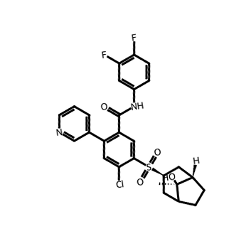 C[C@@]1(O)C2CC[C@H]1C[C@H](S(=O)(=O)c1cc(C(=O)Nc3ccc(F)c(F)c3)c(-c3cccnc3)cc1Cl)C2